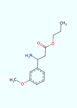 CCCOC(=O)CC(N)c1cccc(OC)c1